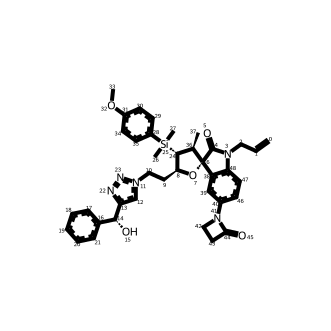 C=CCN1C(=O)[C@@]2(O[C@@H](CCn3cc([C@H](O)c4ccccc4)nn3)[C@H]([Si](C)(C)c3ccc(OC)cc3)[C@H]2C)c2cc(N3CCC3=O)ccc21